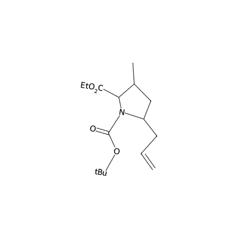 C=CCC1CC(C)C(C(=O)OCC)N1C(=O)OC(C)(C)C